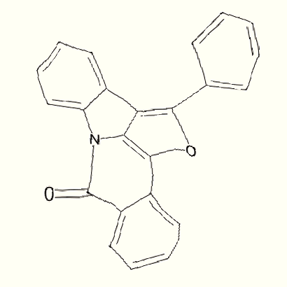 O=c1c2ccccc2c2oc(-c3ccccc3)c3c4ccccc4n1c23